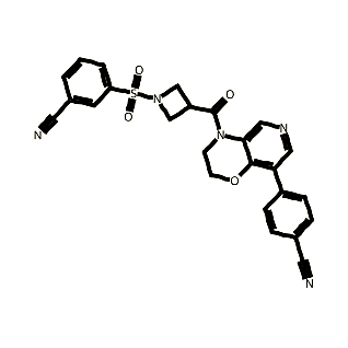 N#Cc1ccc(-c2cncc3c2OCCN3C(=O)C2CN(S(=O)(=O)c3cccc(C#N)c3)C2)cc1